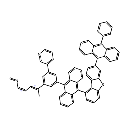 C=N/C=C\C=C(/C)c1cc(-c2cccnc2)cc(-c2c3ccccc3c(-c3cccc4sc5cc(-c6c7ccccc7c(-c7ccccc7)c7ccccc67)ccc5c34)c3ccccc23)c1